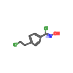 O/N=C(\Cl)c1ccc(CCCl)cc1